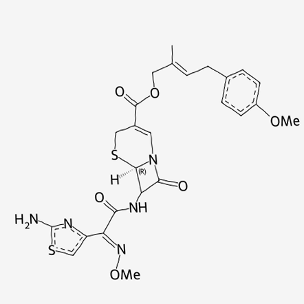 CON=C(C(=O)NC1C(=O)N2C=C(C(=O)OCC(C)=CCc3ccc(OC)cc3)CS[C@H]12)c1csc(N)n1